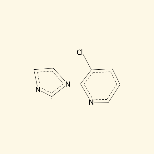 Clc1cccnc1-n1[c]ncc1